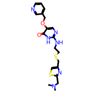 CN(C)Cc1nc(CSCCNc2ncc(OCc3cccnc3)c(=O)[nH]2)cs1